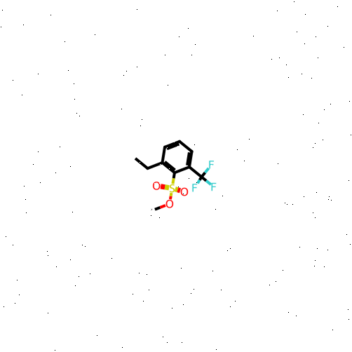 [CH2]OS(=O)(=O)c1c(CC)cccc1C(F)(F)F